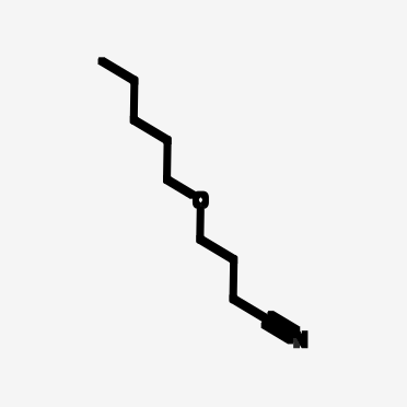 CCCCCOCCCC#N